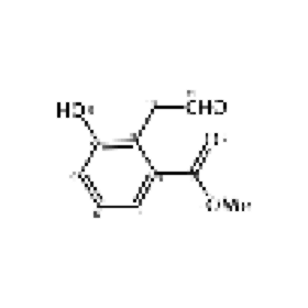 COC(=O)c1cccc(O)c1CC=O